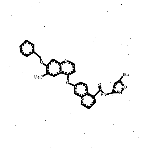 COc1cc2c(Oc3ccc4c(C(=O)Nc5cc(C(C)(C)C)on5)cccc4c3)ccnc2cc1OCc1ccccc1